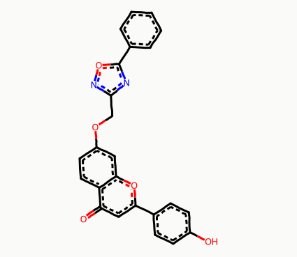 O=c1cc(-c2ccc(O)cc2)oc2cc(OCc3noc(-c4ccccc4)n3)ccc12